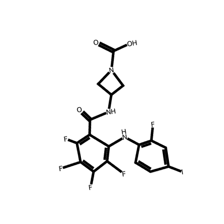 O=C(NC1CN(C(=O)O)C1)c1c(F)c(F)c(F)c(F)c1Nc1ccc(I)cc1F